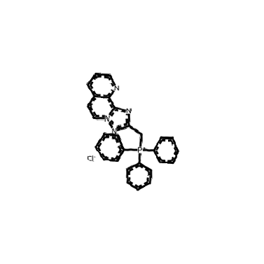 [Cl-].c1ccc([P+](Cc2nc3c4ncccc4ccn3n2)(c2ccccc2)c2ccccc2)cc1